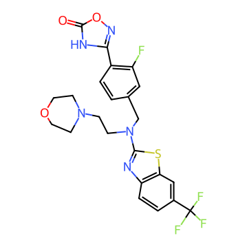 O=c1[nH]c(-c2ccc(CN(CCN3CCOCC3)c3nc4ccc(C(F)(F)F)cc4s3)cc2F)no1